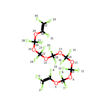 FC(F)=C(F)OC(F)(F)OC(F)(F)OC(F)(F)OC(F)(F)OC(F)(F)OC(F)(F)OC(F)=C(F)F